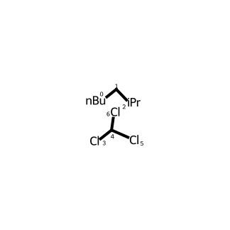 CCCCCC(C)C.ClC(Cl)Cl